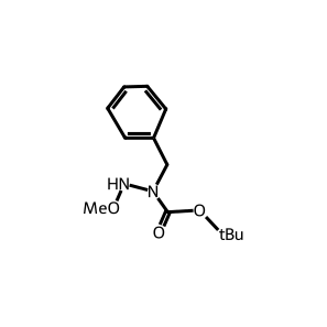 CONN(Cc1ccccc1)C(=O)OC(C)(C)C